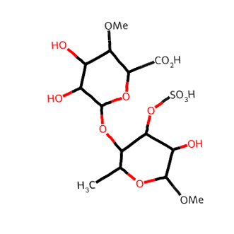 COC1OC(C)C(OC2OC(C(=O)O)C(OC)C(O)C2O)C(OS(=O)(=O)O)C1O